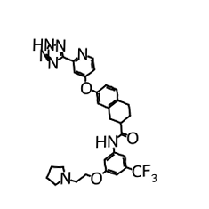 O=C(Nc1cc(OCCN2CCCC2)cc(C(F)(F)F)c1)C1CCc2ccc(Oc3ccnc(-c4nn[nH]n4)c3)cc2C1